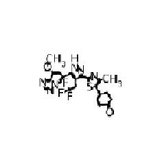 COc1cc(-c2[nH]nc(-c3nc(C)c(C4CCC(=O)CC4)s3)c2CC(F)(F)F)cn2ncnc12